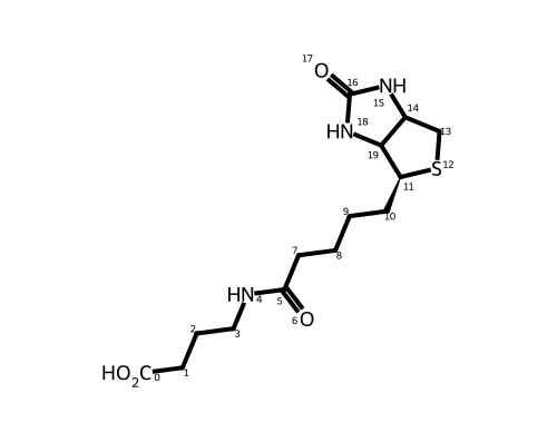 O=C(O)CCCNC(=O)CCCC[C@@H]1SCC2NC(=O)NC21